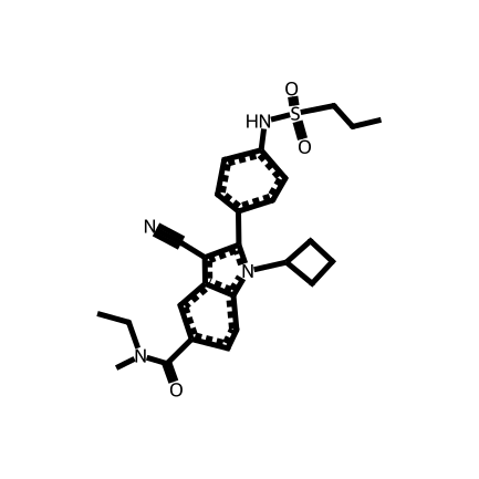 CCCS(=O)(=O)Nc1ccc(-c2c(C#N)c3cc(C(=O)N(C)CC)ccc3n2C2CCC2)cc1